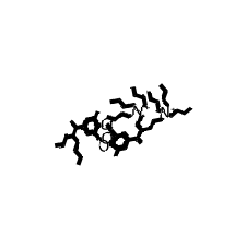 CCCCC(CCC)C(C)c1cc(C)c2c(c1)C1Oc3c(C)cc(C(C)C(CCC[N+](CCCC)(CCCC)CCCC)CC[N+](CCCC)(CCCC)CCCC)cc3C(O2)O1